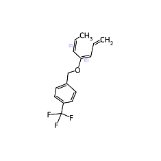 C=C/C=C(\C=C/C)OCc1ccc(C(F)(F)F)cc1